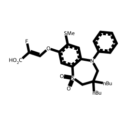 CCCCC1(CCCC)CN(c2ccccc2)c2cc(SC)c(OC=C(F)C(=O)O)cc2S(=O)(=O)C1